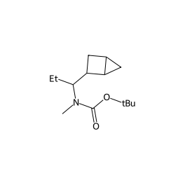 CCC(C1CC2CC21)N(C)C(=O)OC(C)(C)C